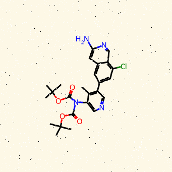 Cc1c(-c2cc(Cl)c3cnc(N)cc3c2)cncc1N(C(=O)OC(C)(C)C)C(=O)OC(C)(C)C